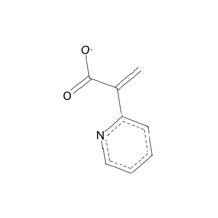 C=C(C([O])=O)c1ccccn1